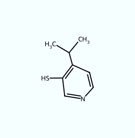 CC(C)c1ccncc1S